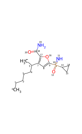 CCCCCC(C)c1cc(S(=N)(=O)C2CC2)oc1C(N)=O